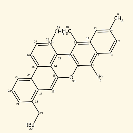 Cc1ccc2c(C(C)C)c3c(c(C)c2c1)-c1c2c(cc4c(CC(C)(C)C)cccc4c2cc[n+]1C)O3